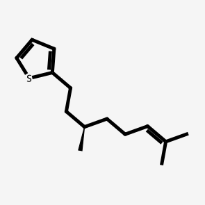 CC(C)=CCC[C@@H](C)CCc1cccs1